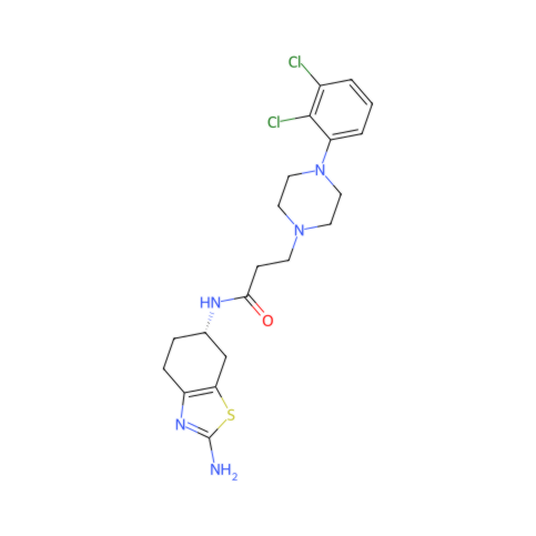 Nc1nc2c(s1)C[C@@H](NC(=O)CCN1CCN(c3cccc(Cl)c3Cl)CC1)CC2